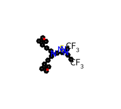 FC(F)(F)c1ccc(-c2ccc(N(c3ccc(C(F)(F)F)cc3)c3ccc(-c4ccc(-n5c6ccc(-c7ccc(-c8ccc9c(c8)C(c8ccccc8)(c8ccccc8)c8ccccc8-9)cc7)cc6c6cc(-c7ccc(-c8ccc9c(c8)C(c8ccccc8)(c8ccccc8)c8ccccc8-9)cc7)ccc65)cc4)c4nsnc34)cc2)cc1